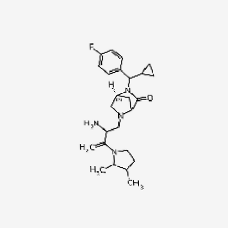 C=C(C(N)CN1C[C@@H]2CC1C(=O)N2C(c1ccc(F)cc1)C1CC1)N1CCC(C)C1C